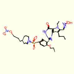 CCCOc1ccc(S(=O)(=O)N2CCC(CCCO[N+](=O)[O-])CC2)cc1-c1nc2c(CCC)c(/C=N/O)n(CC)c2c(=O)[nH]1